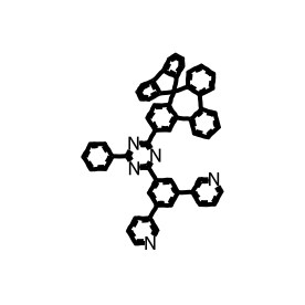 c1ccc(-c2nc(-c3cc(-c4cccnc4)cc(-c4cccnc4)c3)nc(-c3ccc4c(c3)-c3ccccc3-c3ccccc3C43c4ccccc4-c4ccccc43)n2)cc1